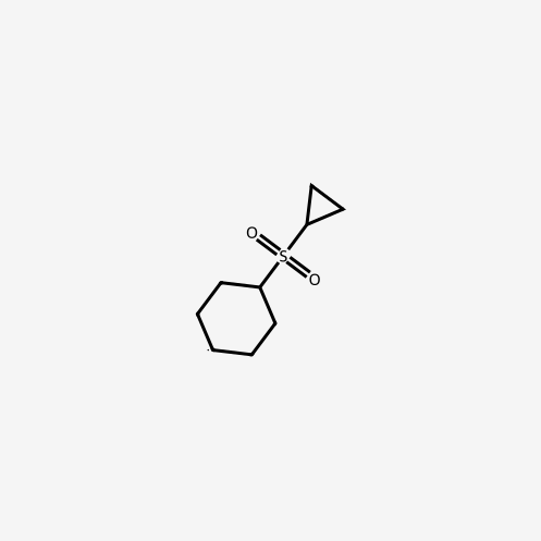 O=S(=O)(C1CC[CH]CC1)C1CC1